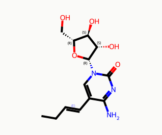 CC/C=C/c1cn([C@@H]2O[C@H](CO)[C@@H](O)[C@@H]2O)c(=O)nc1N